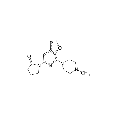 CN1CCN(c2nc(N3CCCC3=O)cc3ccoc23)CC1